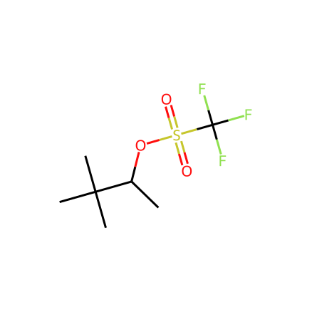 CC(OS(=O)(=O)C(F)(F)F)C(C)(C)C